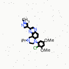 COc1cc(OC)c(Cl)c(N2CCN(C(C)C)Cc3c2ccc2ncc(-c4cnn(C)c4)nc32)c1